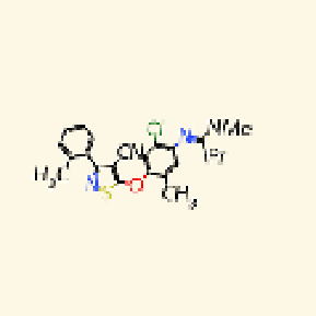 CNC(=Nc1cc(C)c(Oc2snc(-c3ccccc3C)c2C#N)cc1Cl)C(C)C